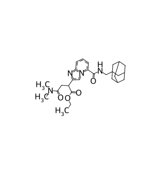 CCOC(=O)C(CC(=O)N(C)C)c1cn2c(C(=O)NCC34CC5CC(CC(C5)C3)C4)cccc2n1